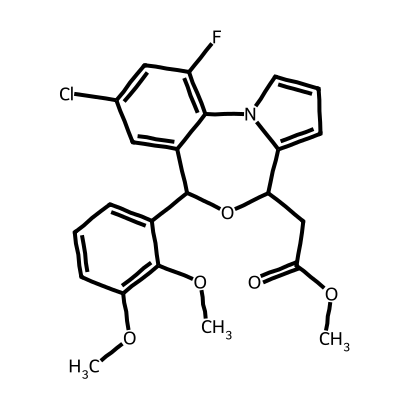 COC(=O)CC1OC(c2cccc(OC)c2OC)c2cc(Cl)cc(F)c2-n2cccc21